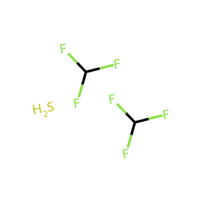 FC(F)F.FC(F)F.S